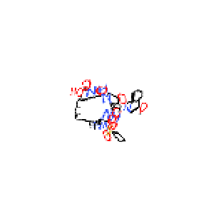 COc1cnc(O[C@@H]2C[C@H]3C(=O)N[C@]4(C(=O)NS(=O)(=O)C5CCC5)C[C@H]4C=CCC[C@H](C)C[C@@H](C)[C@H](NC(=O)O)C(=O)N3C2)c2ccccc12